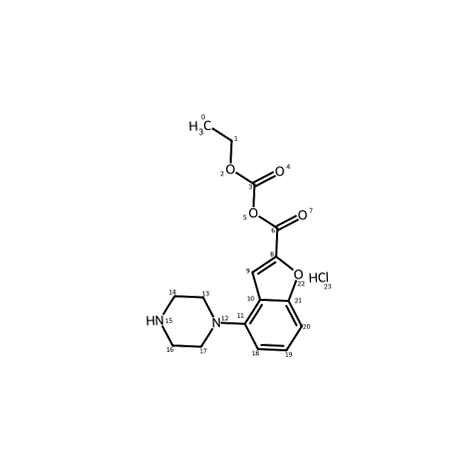 CCOC(=O)OC(=O)c1cc2c(N3CCNCC3)cccc2o1.Cl